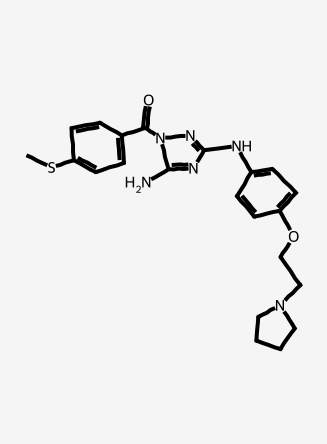 CSc1ccc(C(=O)n2nc(Nc3ccc(OCCN4CCCC4)cc3)nc2N)cc1